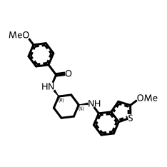 COc1ccc(C(=O)N[C@@H]2CCC[C@H](Nc3cccc4sc(OC)cc34)C2)cc1